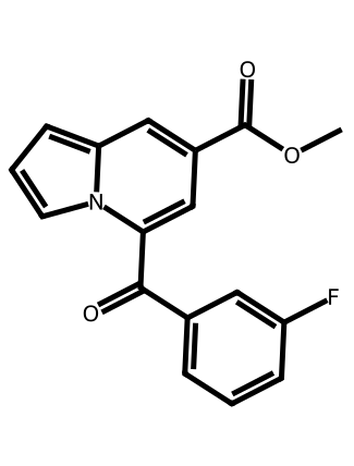 COC(=O)c1cc(C(=O)c2cccc(F)c2)n2cccc2c1